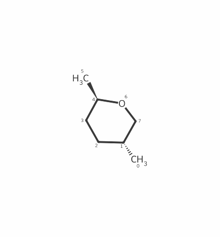 C[C@@H]1CC[C@@H](C)OC1